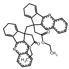 CCOC(=O)CC1(CC2(CC(=O)OCC)C3=CCCC=C3c3nc4ccccc4cc32)C2=CCCC=C2c2nc3ccccc3cc21